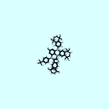 Cc1cc2c3c(c1)N(c1ccc(C(C)(C)C)cc1)c1c(sc4cc5c(cc14)C1(C)CCC5(C)CC1)B3c1cc3c(cc1N2c1ccc2c(c1)C(C)(C)CCC2(C)C)C(C)(C)CCC3(C)C